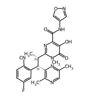 Cc1cnc(C)c([C@H](c2cc(F)ccc2C#N)[C@H](C)c2nc(C(=O)Nc3cnoc3)c(O)c(=O)n2C)n1